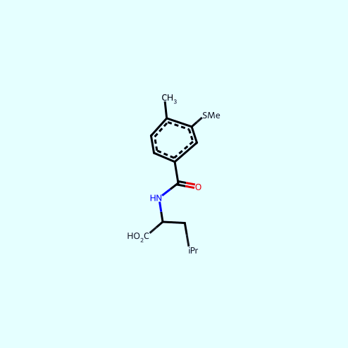 CSc1cc(C(=O)NC(CC(C)C)C(=O)O)ccc1C